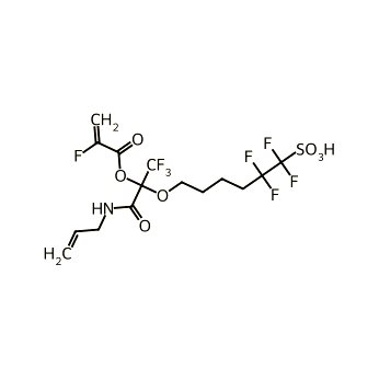 C=CCNC(=O)C(OCCCCC(F)(F)C(F)(F)S(=O)(=O)O)(OC(=O)C(=C)F)C(F)(F)F